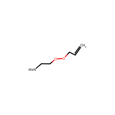 C=CCOOCCNC